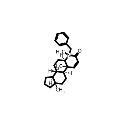 C[C@@]12CCC[C@H]1[C@@H]1CC[C@@H]3[C@](C)(C=CC(=O)[N+]3(C)Cc3ccccc3)[C@H]1CC2